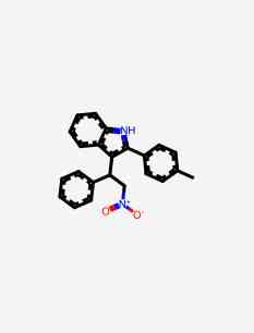 Cc1ccc(-c2[nH]c3ccccc3c2C(C[N+](=O)[O-])c2ccccc2)cc1